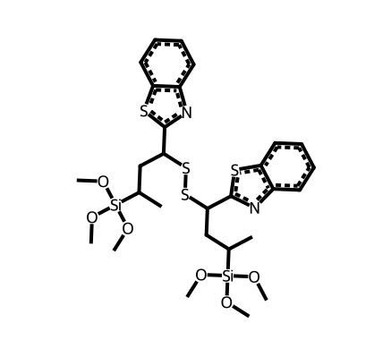 CO[Si](OC)(OC)C(C)CC(SSC(CC(C)[Si](OC)(OC)OC)c1nc2ccccc2s1)c1nc2ccccc2s1